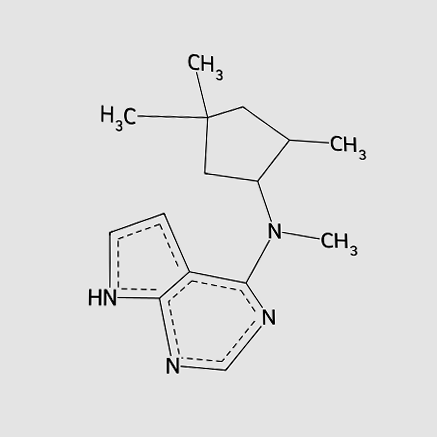 CC1CC(C)(C)CC1N(C)c1ncnc2[nH]ccc12